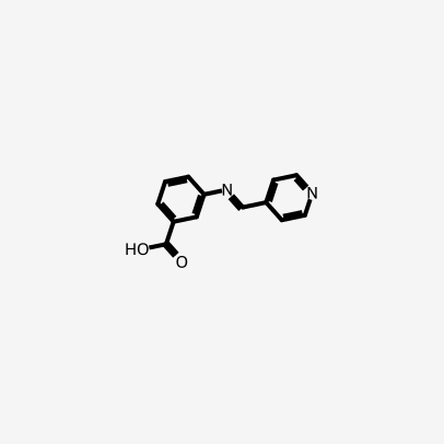 O=C(O)c1cccc(N=Cc2ccncc2)c1